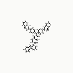 c1ccc2ncc(-c3ccc(N(c4ccc(-c5cnc6ccccc6c5)cc4)c4ccc5cc(-c6ccnc7c6oc6ccccc67)ccc5c4)cc3)cc2c1